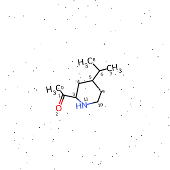 CC(=O)C1CC(C(C)C)CCN1